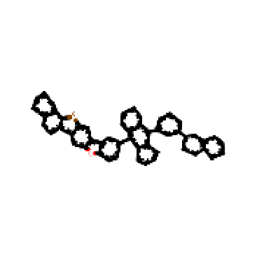 c1cc(-c2ccc3ccccc3c2)cc(-c2c3ccccc3c(-c3ccc4oc5cc6c(cc5c4c3)sc3c4ccccc4ccc63)c3ccccc23)c1